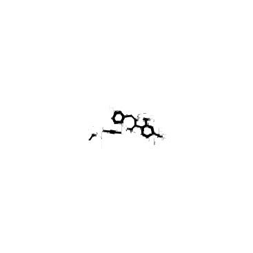 CC(=O)NCC#CCN1C(=O)C(c2ccc(C(F)(F)F)cc2C(F)(F)F)CCc2cc(F)ccc21